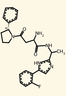 CC(NC(=O)C(N)CC(=O)N1CCC[C@@H]1c1ccccc1)c1ncc(-c2ccccc2F)[nH]1